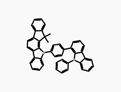 CC1(C)c2ccccc2-c2ccc3c4ccccc4n(-c4ccc(-c5cccc6c7ccccc7n(-c7ccccc7)c56)cc4)c3c21